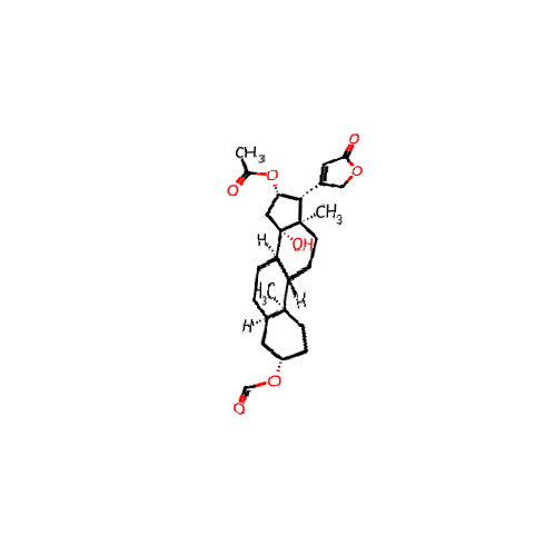 CC(=O)O[C@H]1C[C@]2(O)[C@@H]3CC[C@@H]4C[C@@H](OC=O)CC[C@]4(C)[C@H]3CC[C@]2(C)[C@H]1C1=CC(=O)OC1